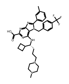 Cc1cccc(-c2nc3nc(C(=O)O)nc(N[C@H](CCCN4CCN(C)CC4)C4CCC4)c3n2Cc2ccc(C(F)(F)F)cc2)c1